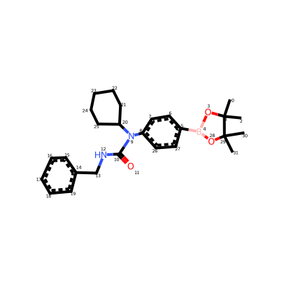 CC1(C)OB(c2ccc(N(C(=O)NCc3ccccc3)C3CCCCC3)cc2)OC1(C)C